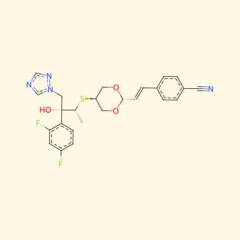 C[C@@H](S[C@H]1CO[C@H](/C=C/c2ccc(C#N)cc2)OC1)[C@](O)(Cn1cncn1)c1ccc(F)cc1F